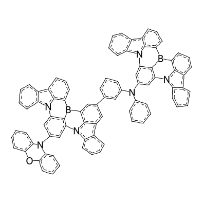 c1ccc(N(c2cccc(-c3cc4c5c(c3)c3ccccc3n5-c3cc(N5c6ccccc6Oc6ccccc65)cc5c3B4c3cccc4c6ccccc6n-5c34)c2)c2cc3c4c(c2)-n2c5ccccc5c5cccc(c52)B4c2cccc4c5ccccc5n-3c24)cc1